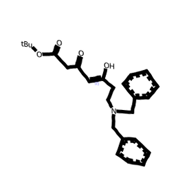 CC(C)(C)OC(=O)CC(=O)/C=C(\O)CCN(Cc1ccccc1)Cc1ccccc1